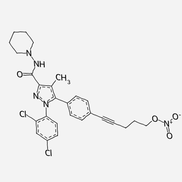 Cc1c(C(=O)NN2CCCCC2)nn(-c2ccc(Cl)cc2Cl)c1-c1ccc(C#CCCCO[N+](=O)[O-])cc1